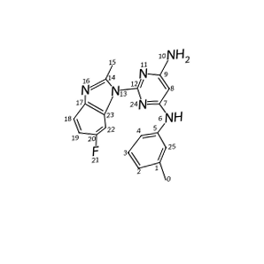 Cc1cccc(Nc2cc(N)nc(-n3c(C)nc4ccc(F)cc43)n2)c1